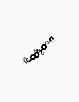 CC(C)N(Cc1ccc2c(c1)CC[C@H](NC(=O)c1ccc(OC[C@@H]3CCCO3)cc1)C2)C(C)C